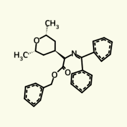 C[C@@H]1C[C@@H](C(N=C(c2ccccc2)c2ccccc2)C(=O)OCc2ccccc2)C[C@H](C)O1